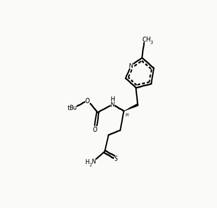 Cc1ccc(C[C@@H](CCC(N)=S)NC(=O)OC(C)(C)C)cn1